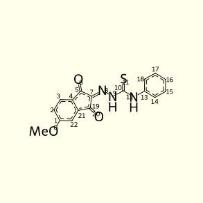 COc1ccc2c(=O)c(=NNC(=S)Nc3ccccc3)c(=O)c2c1